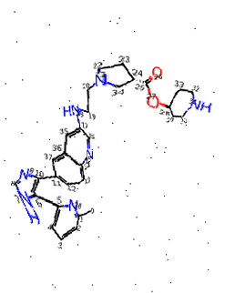 Cc1cccc(-c2[nH]cnc2-c2ccc3ncc(NCCN4CC[C@H](C(=O)OC5CCNCC5)C4)cc3c2)n1